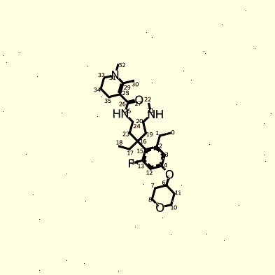 CCc1cc(OC2CCOCC2)cc(F)c1C(CC)(CCNC)CCNC(=O)C1=C(C)N(C)CCC1